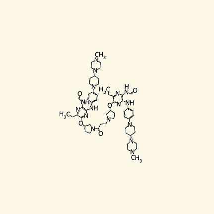 CCc1nc(NC=O)c(Nc2ccc(N3CCC(N4CCN(C)CC4)CC3)cc2)nc1O[C@@H]1CCN(CCC(=O)N2CC[C@@H](Oc3nc(Nc4ccc(N5CCC(N6CCN(C)CC6)CC5)cc4)c(NC=O)nc3CC)C2)C1